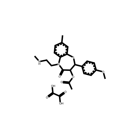 CNCCN1C(=O)C(OC(C)=O)C(c2ccc(OC)cc2)Sc2cc(C)ccc21.O=C(O)C(=O)O